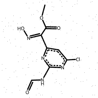 COC(=O)C(=NO)c1cc(Cl)nc(NC=O)n1